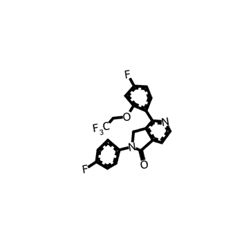 O=C1c2ccnc(-c3ccc(F)cc3OCC(F)(F)F)c2CN1c1ccc(F)cc1